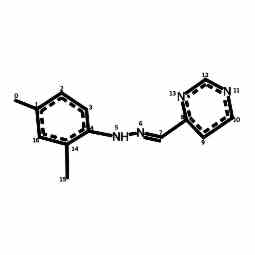 Cc1ccc(N/N=C/c2ccncn2)c(C)c1